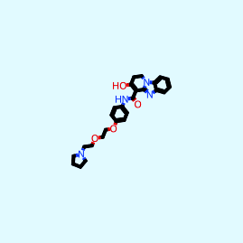 O=C(Nc1ccc(OCCOCCN2CCCC2)cc1)C1=C(O)CCn2c1nc1ccccc12